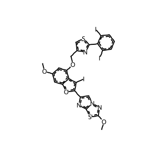 COc1cc(OCc2csc(-c3c(I)cccc3I)n2)c2c(I)c(-c3cn4nc(OC)sc4n3)oc2c1